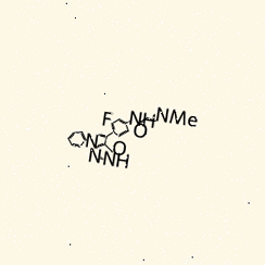 CNCCC(=O)Nc1ccc(-c2cn(-c3ccccc3)c3nc[nH]c(=O)c23)c(F)c1